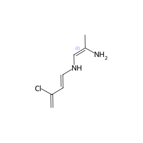 C=C(Cl)C=CN/C=C(/C)N